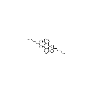 CCCCCC(=O)Oc1c2ccccc2c(OC(=O)CCCCC)c2ccccc12